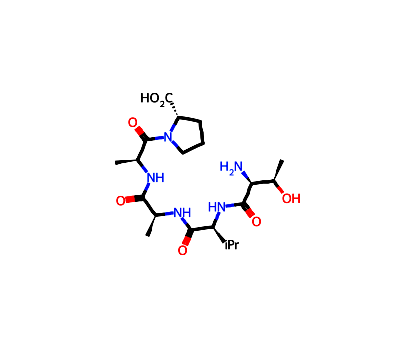 CC(C)[C@H](NC(=O)[C@@H](N)[C@@H](C)O)C(=O)N[C@@H](C)C(=O)N[C@@H](C)C(=O)N1CCC[C@H]1C(=O)O